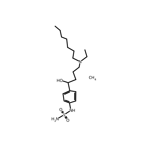 C.CCCCCCCN(CC)CCCC(O)c1ccc(NS(N)(=O)=O)cc1